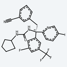 N#Cc1cccc(C[C@@](NC(=O)NC2CCCC2)(c2cc(F)cc(C(F)(F)F)c2)c2ccc(I)cn2)c1